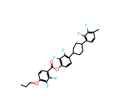 CCCOc1ccc(C(=O)Oc2ccc(C3CCC(c4ccc(C)c(F)c4F)CC3)c(F)c2F)c(F)c1F